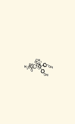 COC(=O)C1(c2nc(-c3ccc(CO)cc3)c(-c3ccc(O)cc3)o2)CCN(C(=O)N(C)O)CC1